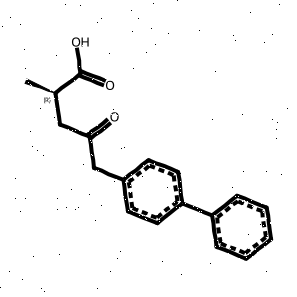 C[C@H](CC(=O)Cc1ccc(-c2ccccc2)cc1)C(=O)O